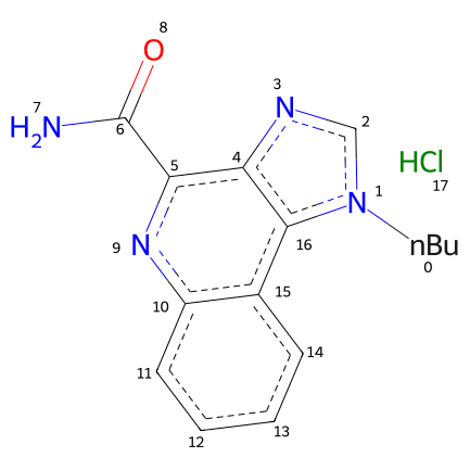 CCCCn1cnc2c(C(N)=O)nc3ccccc3c21.Cl